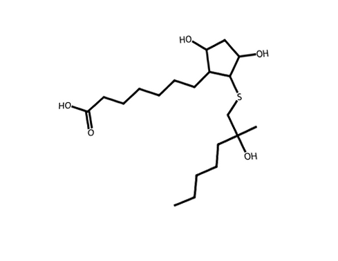 CCCCCC(C)(O)CSC1C(O)CC(O)C1CCCCCCC(=O)O